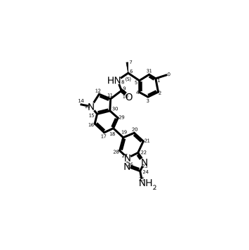 Cc1cccc([C@H](C)NC(=O)c2cn(C)c3ccc(-c4ccc5nc(N)nn5c4)cc23)c1